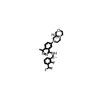 Cc1nnc(N[C@H](C)c2cccc(C(F)F)c2F)c2cc(N3CCN4CCOC[C@@H]4C3)ccc12